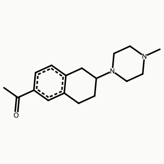 CC(=O)c1ccc2c(c1)CCC(N1CCN(C)CC1)C2